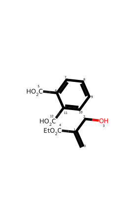 C=C(CO)C(=O)OCC.O=C(O)c1ccccc1C(=O)O